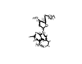 Cc1nc2c3c(cn(C4CC(O)C(CO)O4)c3n1)CCON2